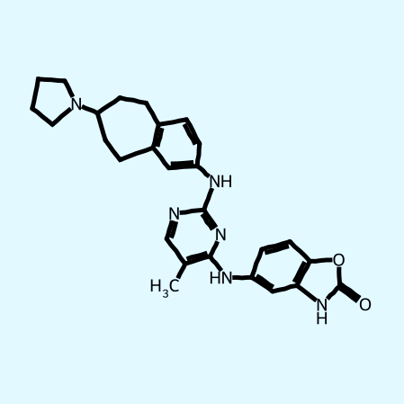 Cc1cnc(Nc2ccc3c(c2)CCC(N2CCCC2)CC3)nc1Nc1ccc2oc(=O)[nH]c2c1